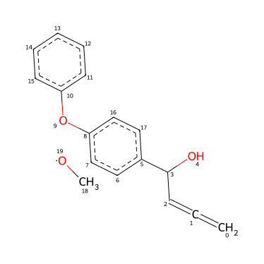 C=C=CC(O)c1ccc(Oc2ccccc2)cc1.C[O]